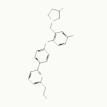 OC[C@@H](O)c1cccc(-c2ccc(Oc3ccc(C(F)(F)F)cc3CN3CCC(O)C3)cc2)n1